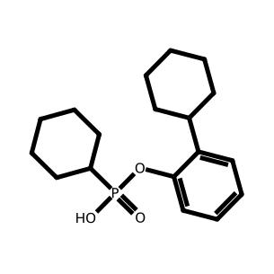 O=P(O)(Oc1ccccc1C1CCCCC1)C1CCCCC1